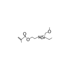 C=C(C)C(=O)OCCCC[SiH](CC)COC